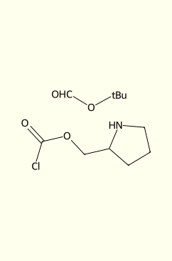 CC(C)(C)OC=O.O=C(Cl)OCC1CCCN1